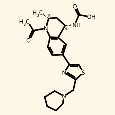 CC(=O)N1c2ccc(-c3csc(CN4CCCCC4)n3)cc2[C@@H](NC(=O)O)C[C@H]1C